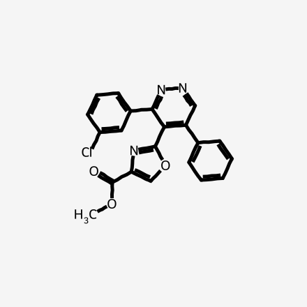 COC(=O)c1coc(-c2c(-c3ccccc3)cnnc2-c2cccc(Cl)c2)n1